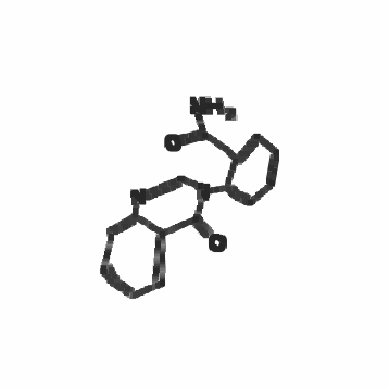 NC(=O)c1ccccc1-n1cnc2ccccc2c1=O